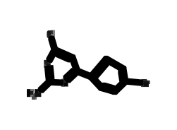 Nc1nc(Cl)cc(-c2ccc(Br)cc2)n1